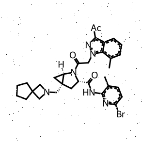 CC(=O)c1nn(CC(=O)N2[C@H](C(=O)Nc3nc(Br)ccc3C)C[C@@]3(CN4CC5(CCCC5)C4)C[C@@H]23)c2c(C)cccc12